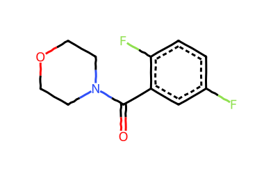 O=C(c1cc(F)ccc1F)N1CCOCC1